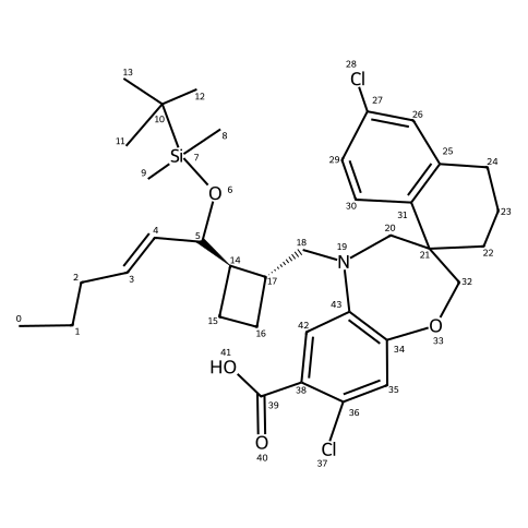 CCC/C=C/C(O[Si](C)(C)C(C)(C)C)[C@@H]1CC[C@H]1CN1CC2(CCCc3cc(Cl)ccc32)COc2cc(Cl)c(C(=O)O)cc21